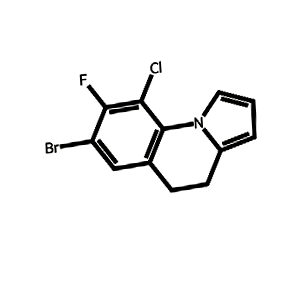 Fc1c(Br)cc2c(c1Cl)-n1cccc1CC2